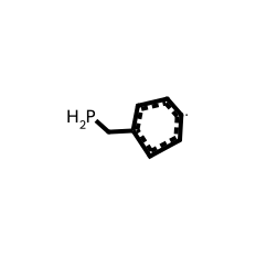 PCc1cc[c]cc1